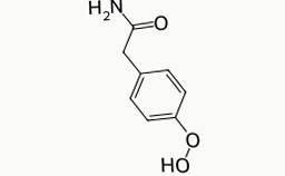 NC(=O)Cc1ccc(OO)cc1